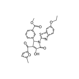 CCOc1ccc2nc(N3C(=O)C(O)=C(C(=O)c4ccc(C)o4)C3c3cccc(C(=O)OC)c3)sc2c1